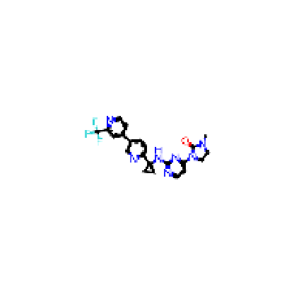 CN1CCN(c2ccnc(NC3(c4ccc(-c5ccnc(C(F)(F)F)c5)cn4)CC3)n2)C1=O